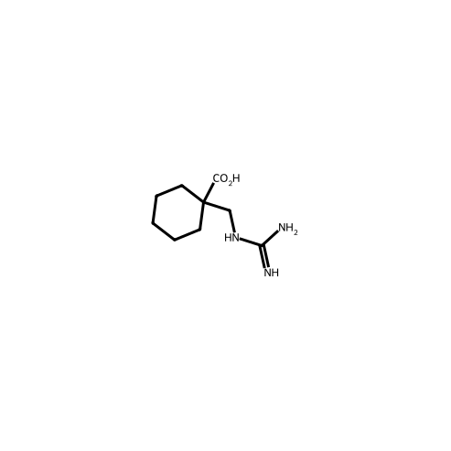 N=C(N)NCC1(C(=O)O)CCCCC1